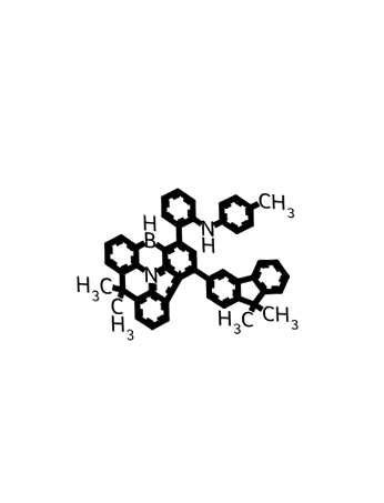 Cc1ccc(Nc2ccccc2-c2cc(-c3ccc4c(c3)-c3ccccc3C4(C)C)c3c4cccc5c4n4c3c2Bc2cccc(c2-4)C5(C)C)cc1